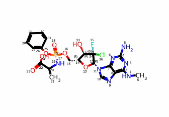 CNc1nc(N)nc2c1ncn2[C@@H]1O[C@H](CO[P@@](=O)(NC(C)C(=O)O)Oc2ccccc2)[C@@H](O)[C@]1(F)Cl